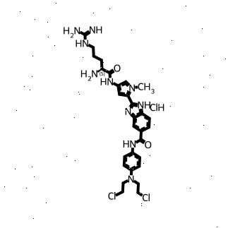 Cl.Cn1cc(NC(=O)[C@@H](N)CCCNC(=N)N)cc1-c1nc2cc(C(=O)Nc3ccc(N(CCCl)CCCl)cc3)ccc2[nH]1